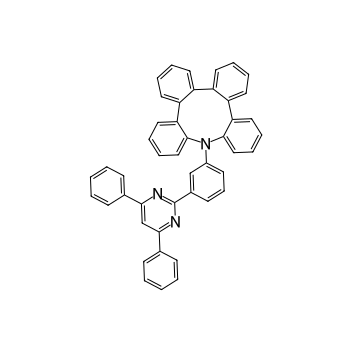 c1ccc(-c2cc(-c3ccccc3)nc(-c3cccc(-n4c5ccccc5c5ccccc5c5ccccc5c5ccccc54)c3)n2)cc1